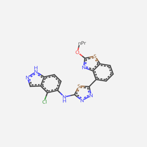 CCCOc1nc2c(-c3nnc(Nc4ccc5[nH]ncc5c4Cl)s3)cccc2s1